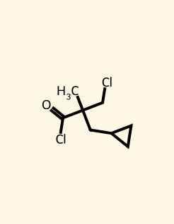 CC(CCl)(CC1CC1)C(=O)Cl